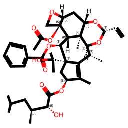 C=C[C@H]1O[C@H]2C[C@H]3OC[C@@]3(OC(C)=O)[C@H]3[C@H](OC(=O)c4ccccc4)[C@]4(C(C)(C)O)C[C@H](OC(=O)[C@H](O)[C@@H](C)CC(C)C)C(C)=C4[C@@H](C)[C@H](O1)[C@]23C